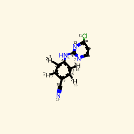 [2H]c1c([2H])c(Nc2nccc(Cl)n2)c([2H])c([2H])c1C#N